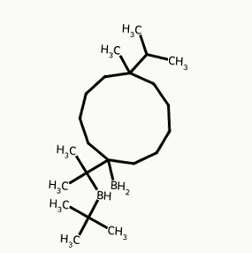 BC1(C(C)(C)BC(C)(C)C)CCCCCC(C)(C(C)C)CCCC1